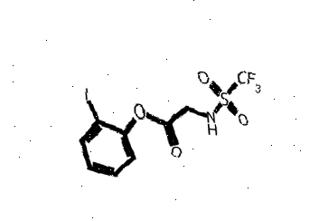 O=C(CNS(=O)(=O)C(F)(F)F)Oc1ccccc1I